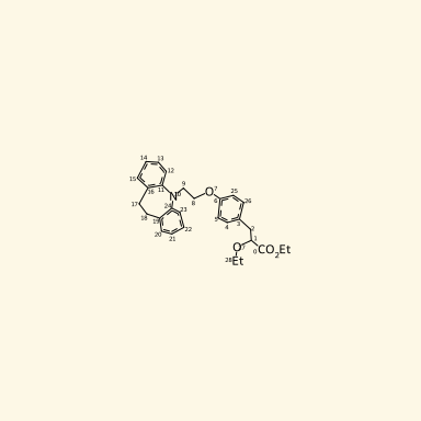 CCOC(=O)C(Cc1ccc(OCCN2c3ccccc3CCc3ccccc32)cc1)OCC